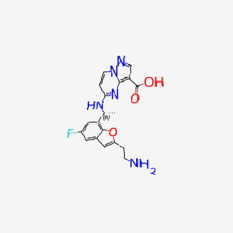 C[C@@H](Nc1ccn2ncc(C(=O)O)c2n1)c1cc(F)cc2cc(CCN)oc12